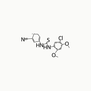 COc1cc(OC)c(NC(=S)NC2=CC[CH]C(C#N)=C2)cc1Cl